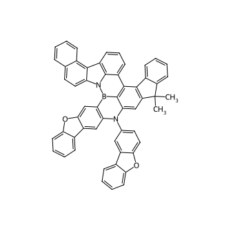 CC1(C)c2ccccc2-c2c1cc1c3c2-c2cccc4c5c6ccccc6ccc5n(c24)B3c2cc3oc4ccccc4c3cc2N1c1ccc2oc3ccccc3c2c1